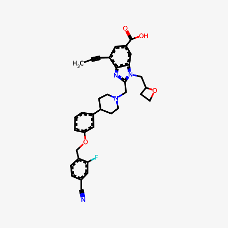 CC#Cc1cc(C(=O)O)cc2c1nc(CN1CCC(c3cccc(OCc4ccc(C#N)cc4F)c3)CC1)n2CC1CCO1